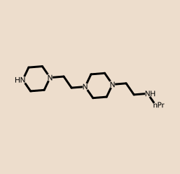 CCCNCCN1CCN(CCN2CCNCC2)CC1